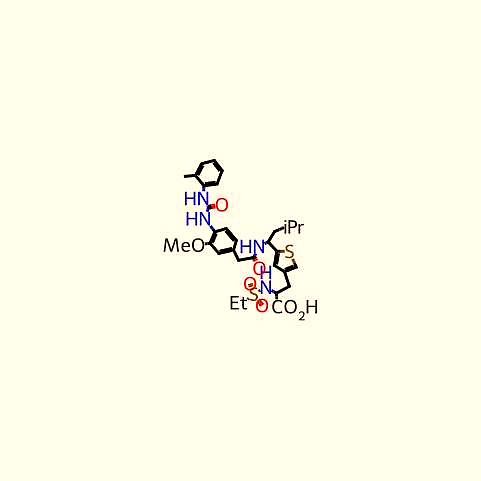 CCS(=O)(=O)NC(Cc1csc(C(CC(C)C)NC(=O)Cc2ccc(NC(=O)Nc3ccccc3C)c(OC)c2)c1)C(=O)O